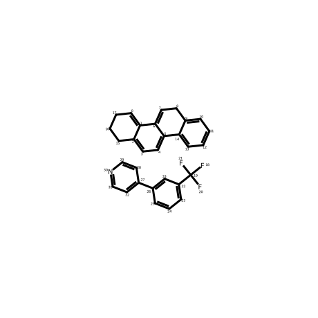 C1=c2c(ccc3c2=CCc2ccccc2-3)CCC1.FC(F)(F)c1cccc(-c2ccncc2)c1